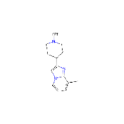 CCCN1CCC(c2cn3cccc(C)c3n2)CC1